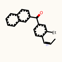 C/C=C\c1ccc(C(=O)c2ccc3ccccc3c2)cc1CC